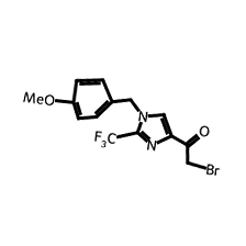 COc1ccc(Cn2cc(C(=O)CBr)nc2C(F)(F)F)cc1